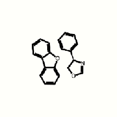 C1=N[C@H](c2ccccc2)CO1.c1ccc2c(c1)oc1ccccc12